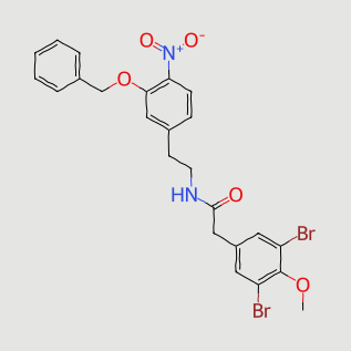 COc1c(Br)cc(CC(=O)NCCc2ccc([N+](=O)[O-])c(OCc3ccccc3)c2)cc1Br